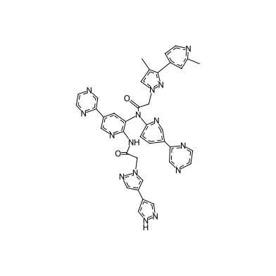 Cc1cc(-c2nn(CC(=O)N(c3ccc(-c4cnccn4)cn3)c3cc(-c4cnccn4)cnc3NC(=O)Cn3cc(-c4cn[nH]c4)cn3)cc2C)ccn1